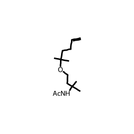 C=CCCC(C)(C)OCCC(C)(C)NC(C)=O